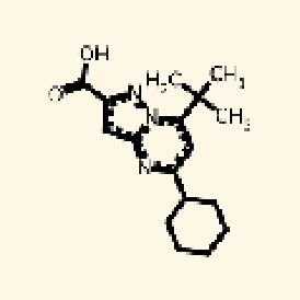 CC(C)(C)c1cc(C2CCCCC2)nc2cc(C(=O)O)nn12